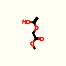 C=C(O)OCC(=O)OC